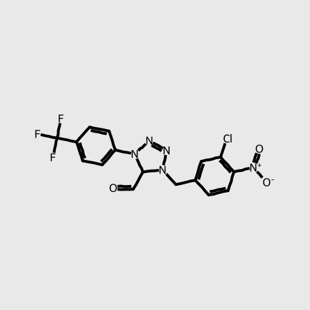 O=CC1N(Cc2ccc([N+](=O)[O-])c(Cl)c2)N=NN1c1ccc(C(F)(F)F)cc1